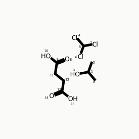 CC(C)O.ClC(Cl)Cl.O=C(O)CCC(=O)O